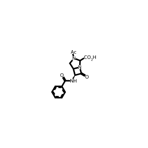 CC(=O)N1CC2[C@H](NC(=O)c3ccccc3)C(=O)N2C1C(=O)O